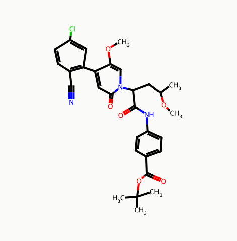 COc1cn(C(CC(C)OC)C(=O)Nc2ccc(C(=O)OC(C)(C)C)cc2)c(=O)cc1-c1cc(Cl)ccc1C#N